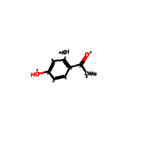 COC(=O)c1ccc(O)cc1.[KH]